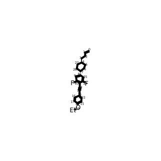 C=CCC[C@H]1CC[C@H](c2cc(F)c(C#Cc3ccc(OCC)cc3)c(F)c2)CC1